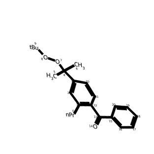 CCCc1cc(C(C)(C)OOC(C)(C)C)ccc1C(=O)c1ccccc1